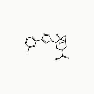 O=C(O)N1C[C@@H](n2cc(-c3cccc(F)c3)nn2)[C@@H]2O[C@@H]2C1